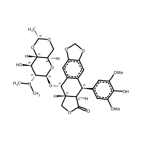 COc1cc([C@@H]2c3cc4c(cc3[C@@H](O[C@@H]3O[C@@H]5CO[C@@H](C)O[C@H]5[C@H](O)[C@H]3N(C)C)[C@H]3COC(=O)[C@H]23)OCO4)cc(OC)c1O